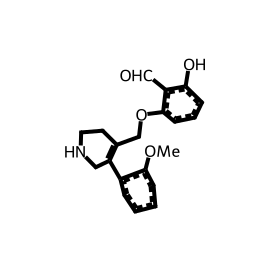 COc1ccccc1C1=C(COc2cccc(O)c2C=O)CCNC1